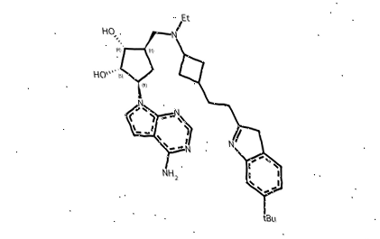 CCN(C[C@H]1C[C@@H](n2ccc3c(N)ncnc32)[C@H](O)[C@@H]1O)C1CC(CCC2=Nc3cc(C(C)(C)C)ccc3C2)C1